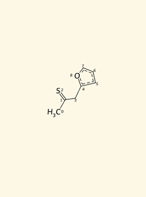 CC(=S)Cc1ccco1